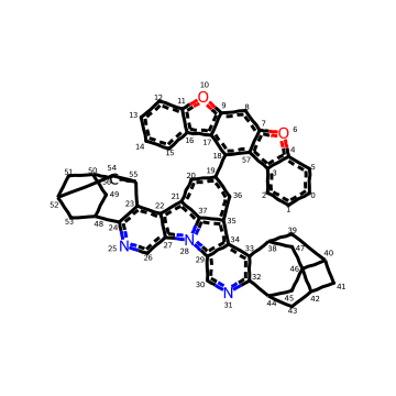 c1ccc2c(c1)oc1cc3oc4ccccc4c3c(-c3cc4c5c6c(ncc5n5c7cnc8c(c7c(c3)c45)C3CC4CC5CC8CC54C3)C3CC4CC(C3)CC6C4)c12